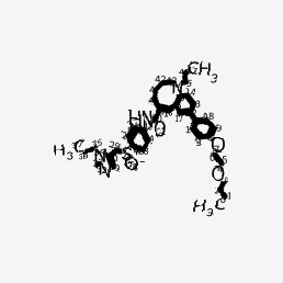 CCCCOCCOc1ccc(-c2ccc3c(c2)/C=C(/C(=O)Nc2ccc([S+]([O-])Cc4cncn4CCC)cc2)CCCCN3CCC)cc1